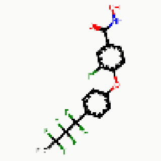 O=C(NO)c1ccc(Oc2ccc(C(F)(F)C(F)(F)C(F)(F)C(F)(F)F)cc2)c(F)c1